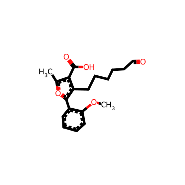 COc1ccccc1-c1oc(C)c(C(=O)O)c1CCCCCC=O